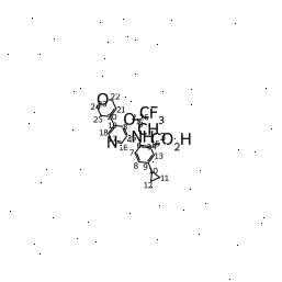 C[C@H](Oc1c(Nc2ccc(C3CC3)cc2C(=O)O)cncc1C1=CCOCC1)C(F)(F)F